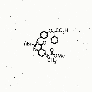 CCCCc1nc2ccc(N(C)C(=O)OC)cc2c(=O)n1Cc1ccc(OC(C(=O)O)c2ccccc2)cc1